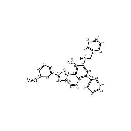 COc1cccc(-c2nc3c4c(C#N)c(NCc5ccncc5)cc(-c5cccnc5)c4ncn3n2)c1